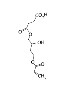 C=CC(=O)OCCC(O)COC(=O)CCC(=O)O